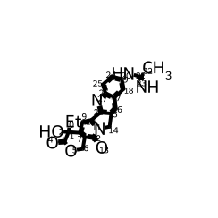 CCC1(O)C(=O)OCc2c1cc1n(c2=O)Cc2cc3cc(NC(C)=N)ccc3nc2-1